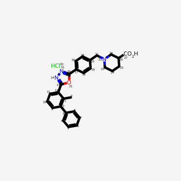 Cc1c(-c2ccccc2)cccc1-c1nnc(-c2ccc(CN3CCCC(C(=O)O)C3)cc2)o1.Cl